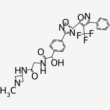 CN1CC(NC(=O)CNC(=O)C(O)c2ccc(-c3noc(-c4onc(-c5ccccc5)c4C(F)(F)F)n3)cc2)C1